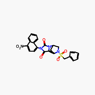 O=C1C2=C3CC(CN3S(=O)(=O)Cc3ccccc3)N2C(=O)N1c1ccc([N+](=O)[O-])c2ccccc12